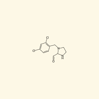 O=CC1NCCN1Cc1ccc(Cl)cc1Cl